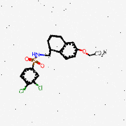 O=C(O)COc1ccc2c(c1)CCCC2CNS(=O)(=O)c1ccc(Cl)c(Cl)c1